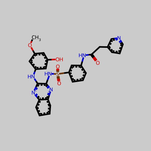 COc1cc(O)cc(Nc2nc3ccccc3nc2NS(=O)(=O)c2cccc(NC(=O)Cc3cccnc3)c2)c1